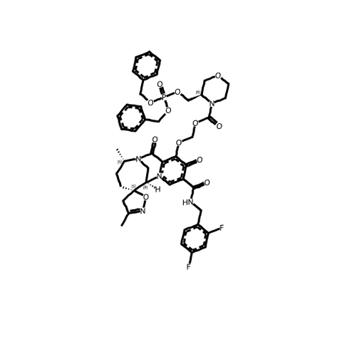 CC1=NO[C@@]2(CC[C@H](C)N3C[C@H]2n2cc(C(=O)NCc4ccc(F)cc4F)c(=O)c(OCOC(=O)N4CCOC[C@@H]4COP(=O)(OCc4ccccc4)OCc4ccccc4)c2C3=O)C1